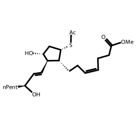 CCCCC[C@H](O)/C=C/[C@@H]1[C@@H](CC/C=C\CCC(=O)OC)[C@@H](SC(C)=O)C[C@H]1O